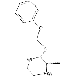 C[C@H]1NCCN[C@@H]1CCOc1ccccc1